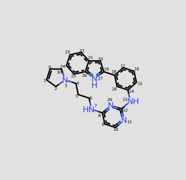 C1=CCN(CCCNc2ccnc(Nc3cccc(-c4cc5ccccc5[nH]4)c3)n2)C1